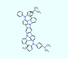 CCc1cccc2c1c1c(N(c3ccccc3)c3ccc(C(C)C)cc3)ccc3c4cc5c(cc4n2c31)c1ccc(N(c2ccccc2)c2ccc(C(C)C)cc2)c2c3c(CC)cccc3n5c12